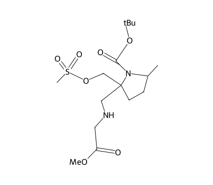 COC(=O)CNCC1(COS(C)(=O)=O)CCC(C)N1C(=O)OC(C)(C)C